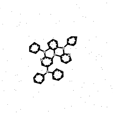 c1ccc(N(c2ccccc2)c2cnc3c(c2)B2c4cccnc4N(c4ccccc4)c4cccc(c42)N3c2ccccc2)cc1